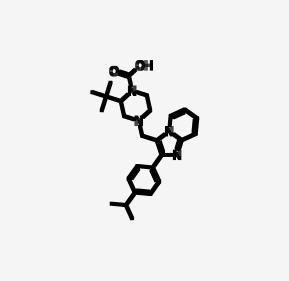 CC(C)c1ccc(-c2nc3ccccn3c2CN2CCN(C(=O)O)C(C(C)(C)C)C2)cc1